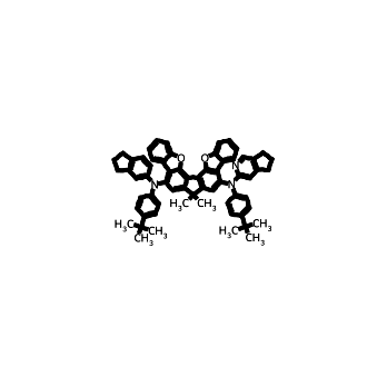 CC(C)(C)c1ccc(N(c2ccc3c(c2)CCC3)c2cc3c(c4oc5ccccc5c24)-c2c(cc(N(c4ccc(C(C)(C)C)cc4)c4cc5c(cn4)CCC5)c4c2oc2ccccc24)C3(C)C)cc1